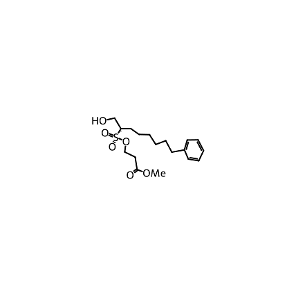 COC(=O)CCOS(=O)(=O)[C](CO)CCCCCCc1ccccc1